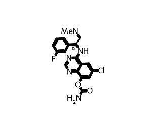 CNC[C@@H](Nc1ncnc2c(OC(N)=O)cc(Cl)cc12)c1cccc(F)c1